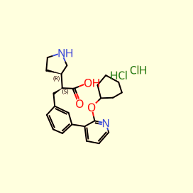 Cl.Cl.O=C(O)[C@@H](Cc1cccc(-c2cccnc2OC2CCCCC2)c1)[C@H]1CCNC1